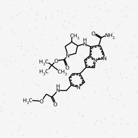 COCC(=O)NCc1ccc(-c2cc3c(NC4CN(C(=O)OC(C)(C)C)CC4C)c(C(N)=O)cnn3c2)cn1